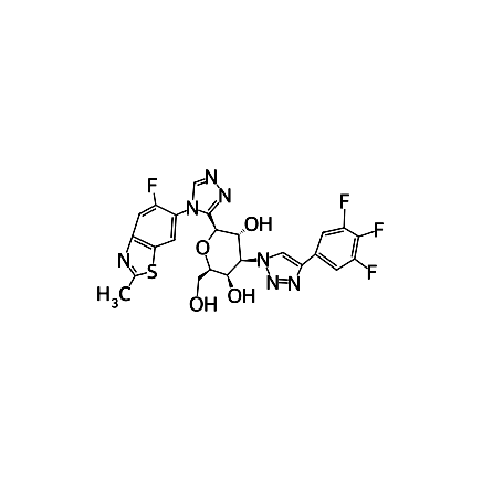 Cc1nc2cc(F)c(-n3cnnc3[C@@H]3O[C@H](CO)[C@H](O)[C@H](n4cc(-c5cc(F)c(F)c(F)c5)nn4)[C@H]3O)cc2s1